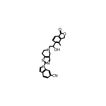 Cc1c(C(O)CN2CCc3nc(-n4ccc5ccc(C#N)cc54)ncc3C2)ccc2c1COC2=O